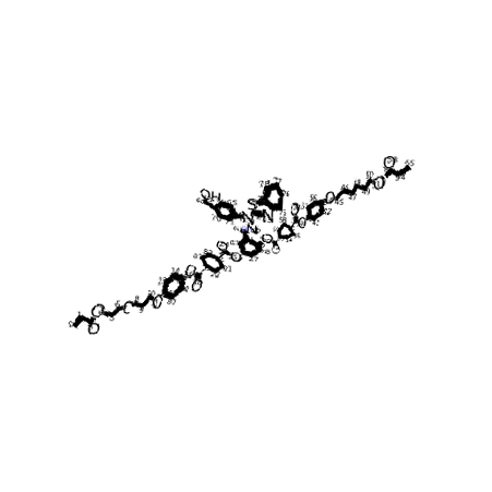 C=CC(=O)OCCCCCCOc1ccc(OC(=O)[C@H]2CC[C@H](C(=O)Oc3ccc(OC(=O)[C@H]4CC[C@H](C(=O)Oc5ccc(OCCCCCCOC(=O)C=C)cc5)CC4)c(/C=N/N(c4ccc(CO)cc4)c4nc5ccccc5s4)c3)CC2)cc1